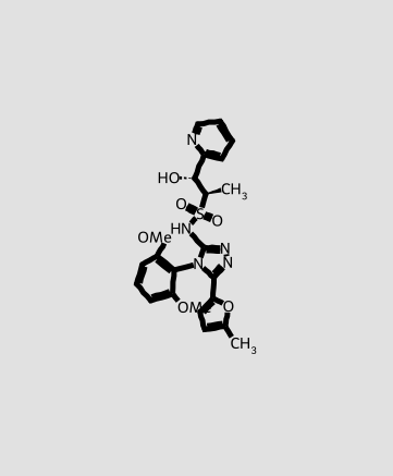 COc1cccc(OC)c1-n1c(NS(=O)(=O)[C@H](C)[C@H](O)c2ccccn2)nnc1-c1ccc(C)o1